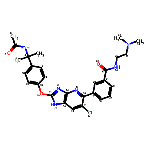 CC(=O)NC(C)(C)c1ccc(Oc2nc3nc(-c4cccc(C(=O)NCCN(C)C)c4)c(Cl)cc3[nH]2)cc1